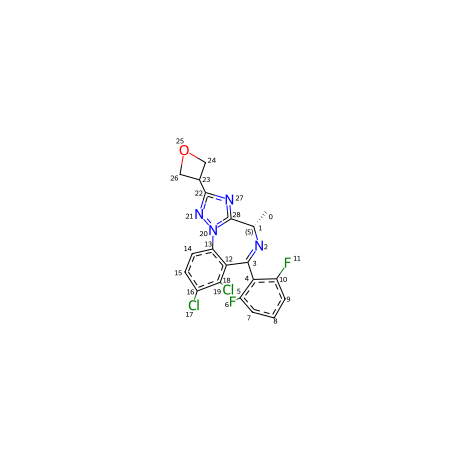 C[C@@H]1N=C(c2c(F)cccc2F)c2c(ccc(Cl)c2Cl)-n2nc(C3COC3)nc21